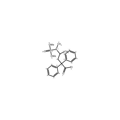 CCC(=O)C(CC(C)N(C)P(=O)(OC)OC)(c1ccccc1)c1ccccc1